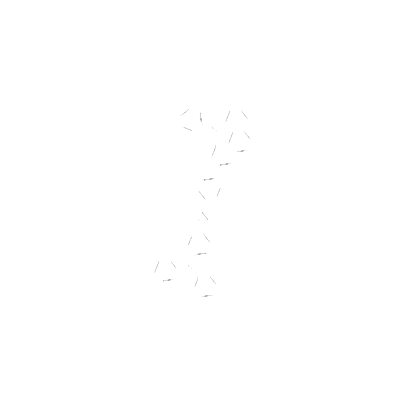 C(=C\c1ccc(N(c2ccccc2)c2ccccc2)cc1)/c1ccc(-c2cc3ccc4cccc5c4c3c(c2)n5-c2ccccc2)cc1